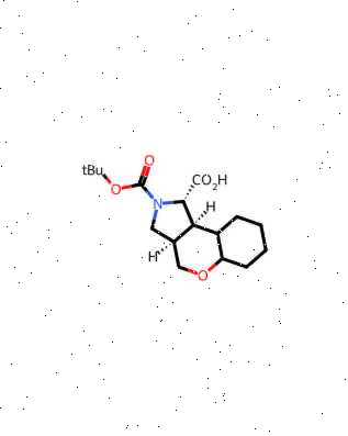 CC(C)(C)OC(=O)N1C[C@@H]2COC3CCCCC3[C@@H]2[C@H]1C(=O)O